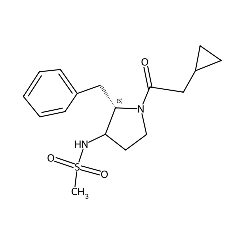 CS(=O)(=O)NC1CCN(C(=O)CC2CC2)[C@H]1Cc1ccccc1